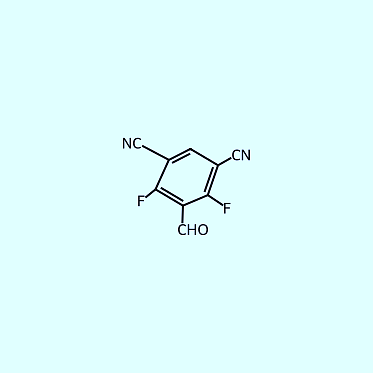 N#Cc1cc(C#N)c(F)c(C=O)c1F